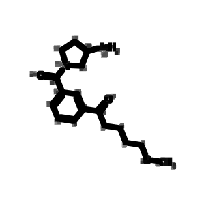 COCCCCC(=O)c1cccc(C(=O)N2CCC([AsH2])C2)c1